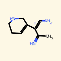 CC(=N)/C(=C\N)C1=CCCNC1